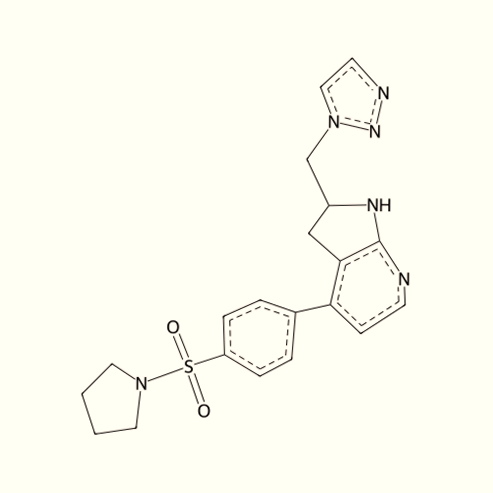 O=S(=O)(c1ccc(-c2ccnc3c2CC(Cn2ccnn2)N3)cc1)N1CCCC1